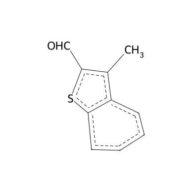 Cc1c(C=O)sc2ccccc12